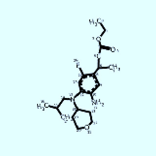 CCOC(=O)CC(C)c1cc(N)c(N(CC(C)C)C2CCOCC2)cc1F